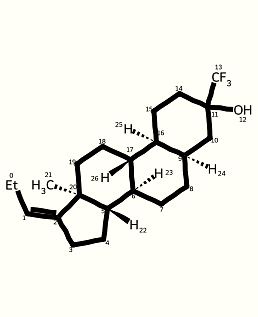 CC/C=C1/CC[C@H]2[C@@H]3CC[C@@H]4CC(O)(C(F)(F)F)CC[C@@H]4[C@H]3CC[C@]12C